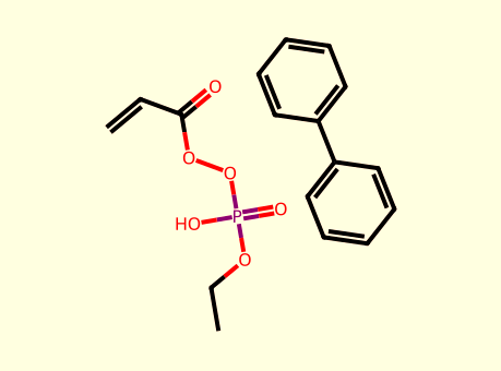 C=CC(=O)OOP(=O)(O)OCC.c1ccc(-c2ccccc2)cc1